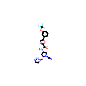 N#CN1C[C@H](NC(=O)c2ncc(-c3cccc(OC(F)(F)F)c3)o2)C[C@H]1Cn1ccnn1